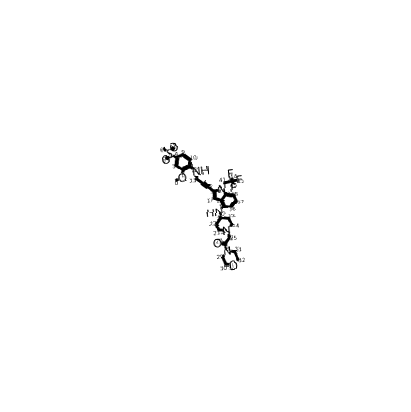 COc1cc(S(C)(=O)=O)ccc1NCC#Cc1cc2c(NC3CCN(CC(=O)N4CCOCC4)CC3)cccc2n1CC(F)(F)F